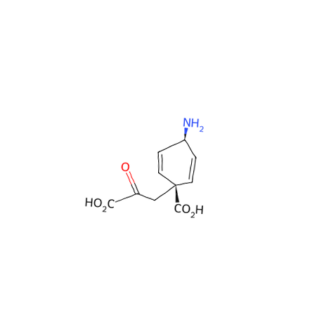 N[C@H]1C=C[C@@](CC(=O)C(=O)O)(C(=O)O)C=C1